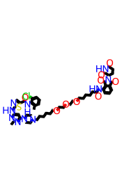 Cc1nc(Nc2ncc(C(=O)Nc3c(C)cccc3Cl)s2)cc(N2CCN(CCCCCCOCCOCCOCCCCCC(=O)Nc3cccc4c3C(=O)N(C3CCC(=O)NC3=O)C4=O)CC2)n1